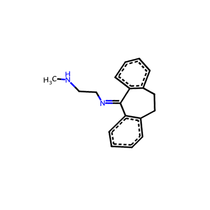 CNCCN=C1c2ccccc2CCc2ccccc21